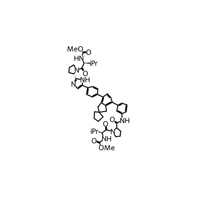 COC(=O)N[C@H](C(=O)N1CCCC1C(=O)Nc1cccc(-c2ccc(-c3ccc(-c4cnc([C@@H]5CCCN5C(=O)[C@@H](NC(=O)OC)C(C)C)[nH]4)cc3)c3c2CC2(CCCC2)C3)c1)C(C)C